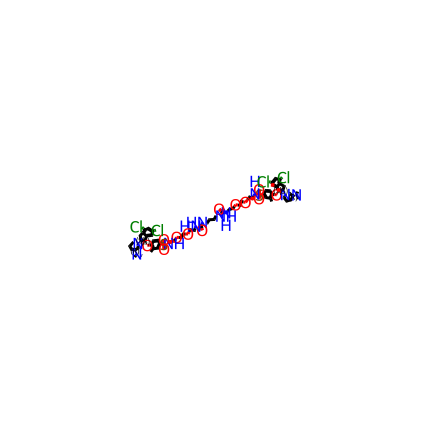 Cc1cc(S(=O)(=O)NCCOCCOCCNC(=O)NCCCCNC(=O)NCCOCCOCCNS(=O)(=O)c2ccc(O[C@H]3c4cc(Cl)cc(Cl)c4C[C@@H]3N3CCC[C@@H](N(C)C)C3)c(C)c2)ccc1O[C@H]1c2cc(Cl)cc(Cl)c2C[C@@H]1N1CCC[C@@H](N(C)C)C1